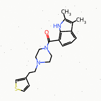 Cc1[nH]c2c(C(=O)N3CCN(CCc4ccsc4)CC3)cccc2c1C